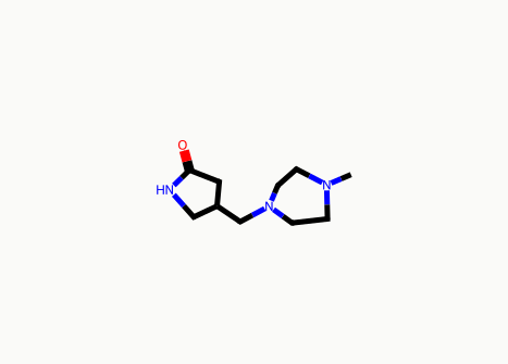 CN1CCN(CC2CNC(=O)C2)CC1